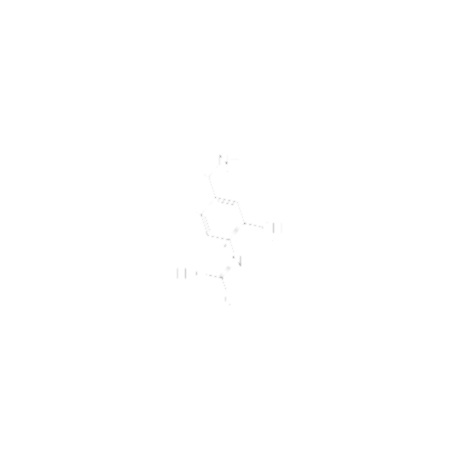 CC(C)=Nc1ccc(CN)cc1C